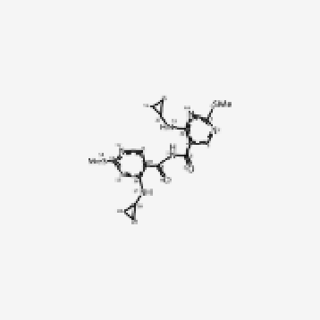 CSc1ncc(C(=O)NC(=O)c2cnc(SC)nc2NC2CC2)c(NC2CC2)n1